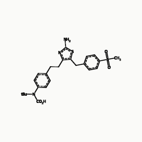 CC(C)(C)N(C(=O)O)c1ccc(CCc2nc(N)sc2Cc2ccc(S(C)(=O)=O)cc2)cc1